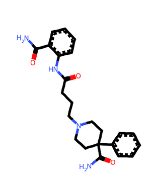 NC(=O)c1ccccc1NC(=O)CCCN1CCC(C(N)=O)(c2ccccc2)CC1